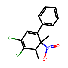 CC1C(Br)=C(Cl)C=C(c2ccccc2)C1(C)[N+](=O)[O-]